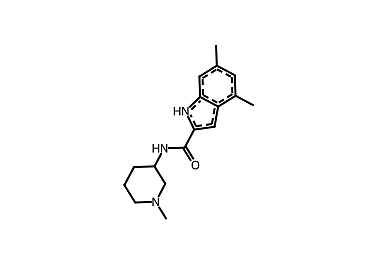 Cc1cc(C)c2cc(C(=O)NC3CCCN(C)C3)[nH]c2c1